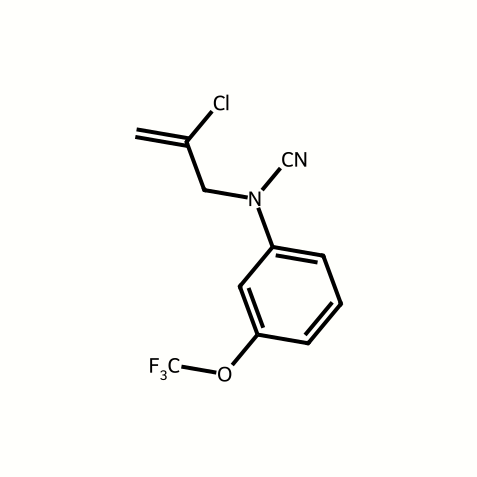 C=C(Cl)CN(C#N)c1cccc(OC(F)(F)F)c1